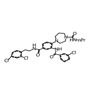 CCCNC(=O)N1CCCN(c2ccc(C(=O)NCCc3ccc(Cl)cc3Cl)cc2NC(=O)c2cccc(Cl)c2)CC1